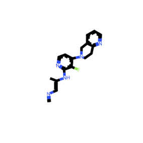 C=N/C=C(\C)Nc1nccc(N2CCc3ncccc3C2)c1F